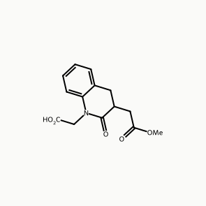 COC(=O)CC1Cc2ccccc2N(CC(=O)O)C1=O